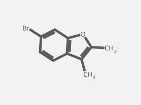 [CH2]c1oc2cc(Br)ccc2c1C